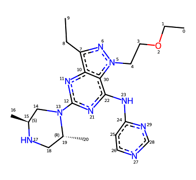 CCOCCn1nc(CC)c2nc(N3C[C@H](C)NC[C@H]3C)nc(Nc3ccncn3)c21